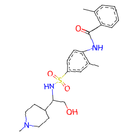 Cc1cc(S(=O)(=O)NC(CO)C2CCN(C)CC2)ccc1NC(=O)c1ccccc1C